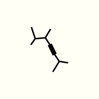 CC(C)C#CC(C)C(C)C